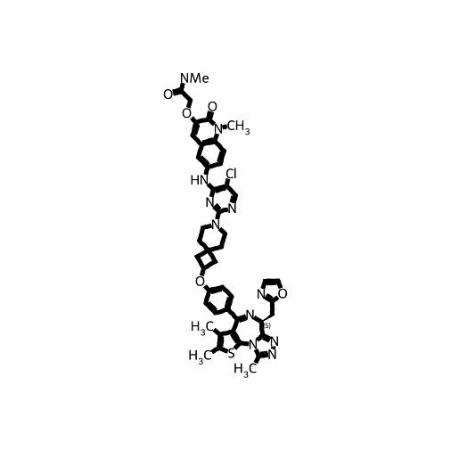 CNC(=O)COc1cc2cc(Nc3nc(N4CCC5(CC4)CC(Oc4ccc(C6=N[C@@H](Cc7ncco7)c7nnc(C)n7-c7sc(C)c(C)c76)cc4)C5)ncc3Cl)ccc2n(C)c1=O